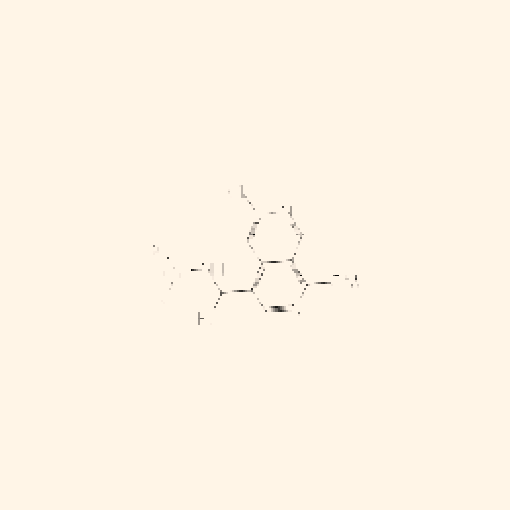 CCC(N[S@@+]([O-])C(C)(C)C)c1cnc(OC)c2cnc(Cl)cc12